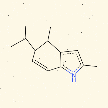 Cc1cc2c([nH]1)C=CC(C(C)C)C2C